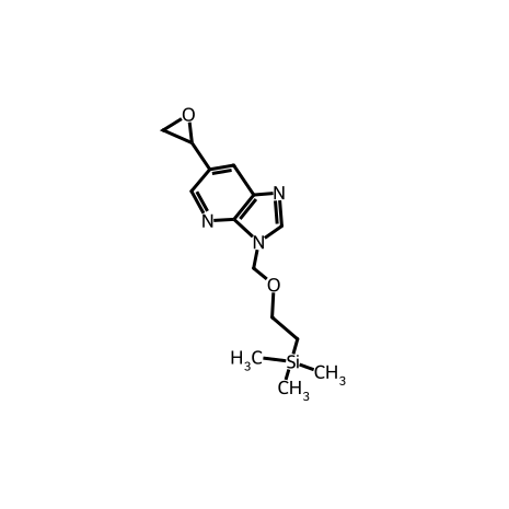 C[Si](C)(C)CCOCn1cnc2cc(C3CO3)cnc21